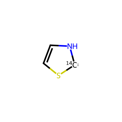 C1=CS[14C]N1